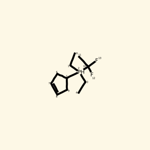 CC[PH](CC)(C1CC=CC1)C(C)(F)F